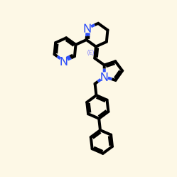 C(=C1/CCCN=C1c1cccnc1)/c1cccn1Cc1ccc(-c2ccccc2)cc1